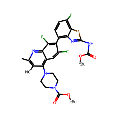 Cc1nc2c(F)c(-c3ccc(F)c4sc(NC(=O)OC(C)(C)C)nc34)c(Cl)cc2c(N2CCN(C(=O)OC(C)(C)C)CC2)c1C#N